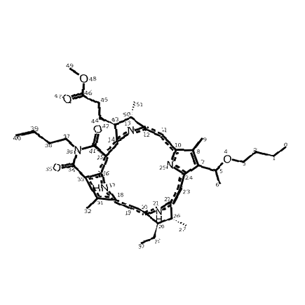 CCCCOC(C)C1=C(C)c2cc3nc(c4c5[nH]c(cc6[nH]c(cc1n2)[C@H](C)[C@H]6CC)c(C)c5C(=O)N(CCCC)C4=O)[C@@H](CCC(=O)OC)[C@@H]3C